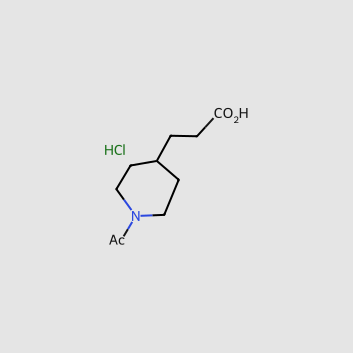 CC(=O)N1CCC(CCC(=O)O)CC1.Cl